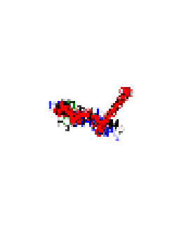 C/C(=C/N)c1c(C)c(OC(=S)N(C)CCCC(=O)OCc2ccc(NC(=O)C(CCCNC(N)=O)NC(=O)C(NC(=O)CCOCCOCCOCCOCCOCCOCCN3C(=O)C=CC3=O)C(C)C)cc2)cc2c1C(CCl)CN2C(=O)C12CC(C(=O)N3CC(CCl)c4c3cc(OP(=O)(O)O)c3[nH]cc(C)c43)(C1)C2